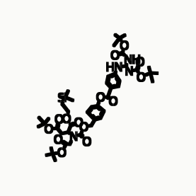 CC(C)(C)OC(=O)CC(C(=O)OCC[Si](C)(C)C)N(CC(=O)OC(C)(C)C)C(=O)OCc1ccc(OC(=O)c2ccc(NC(=NC(=O)OC(C)(C)C)NC(=O)OC(C)(C)C)cc2)cc1